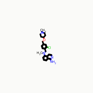 CN1CCC(OCc2ccc(CN(C)c3cccc4c(N)nccc34)c(Cl)c2)CC1